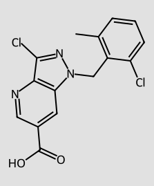 Cc1cccc(Cl)c1Cn1nc(Cl)c2ncc(C(=O)O)cc21